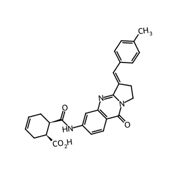 Cc1ccc(/C=C2\CCn3c2nc2cc(NC(=O)[C@@H]4CC=CC[C@@H]4C(=O)O)ccc2c3=O)cc1